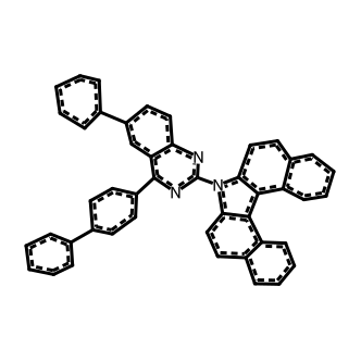 c1ccc(-c2ccc(-c3nc(-n4c5ccc6ccccc6c5c5c6ccccc6ccc54)nc4ccc(-c5ccccc5)cc34)cc2)cc1